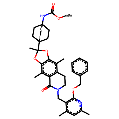 CCCCOC(=O)NC12CCC(C3(C)Oc4c(C)c5c(c(C)c4O3)C(=O)N(Cc3c(C)cc(C)nc3OCc3ccccc3)CC5)(CC1)CC2